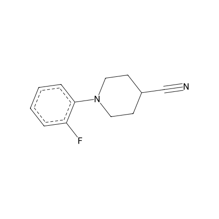 N#CC1CCN(c2ccccc2F)CC1